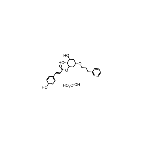 O=C(/C=C/c1ccc(O)cc1)O[C@@H]1C[C@@H](OCCCc2ccccc2)C[C@H](O)[C@H]1O.O=C(O)O